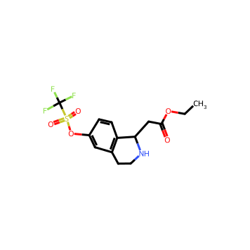 CCOC(=O)CC1NCCc2cc(OS(=O)(=O)C(F)(F)F)ccc21